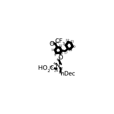 CCCCCCCCCCCC[N+](C)(CCOc1ccc(C(=O)C(F)(F)F)cc1Cc1ccccc1)CC(=O)O